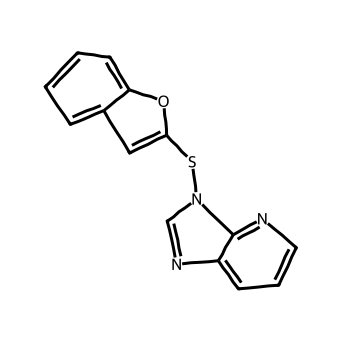 c1ccc2oc(Sn3cnc4cccnc43)cc2c1